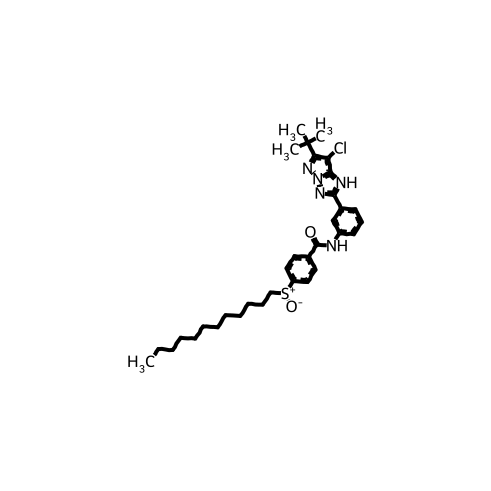 CCCCCCCCCCCC[S+]([O-])c1ccc(C(=O)Nc2cccc(-c3nn4nc(C(C)(C)C)c(Cl)c4[nH]3)c2)cc1